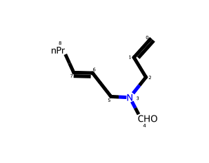 C=CCN(C=O)CC=CCCC